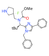 COCC(=O)N(C[C@]1(F)CCNC1)[C@@H](c1nc(-c2ccccc2)cn1Cc1ccccc1)C(C)(C)C